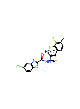 Cc1ccc(-c2scc(NC(=O)c3nc4cc(Cl)ccc4o3)c2C(=O)O)c(F)c1F